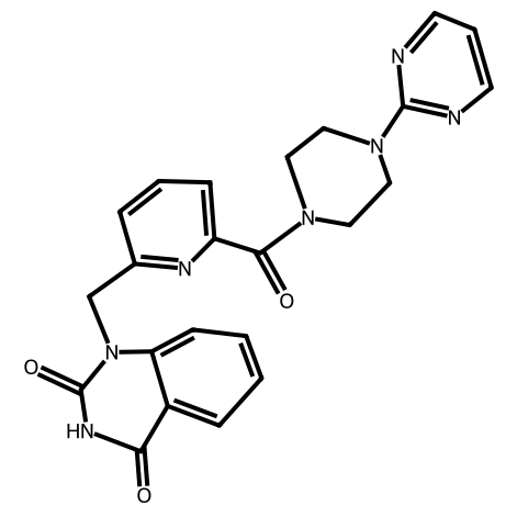 O=C(c1cccc(Cn2c(=O)[nH]c(=O)c3ccccc32)n1)N1CCN(c2ncccn2)CC1